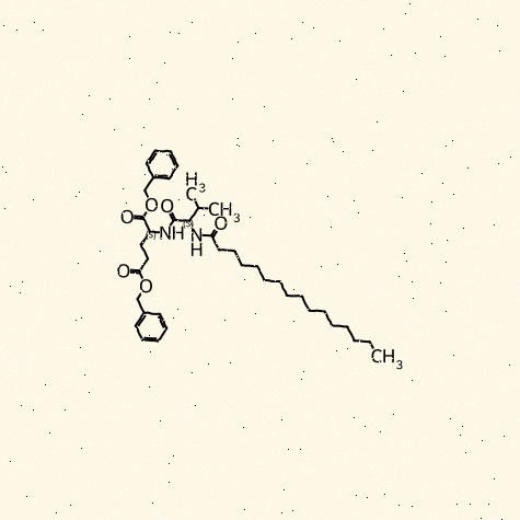 CCCCCCCCCCCCCCCC(=O)N[C@H](C(=O)N[C@@H](CCC(=O)OCc1ccccc1)C(=O)OCc1ccccc1)C(C)C